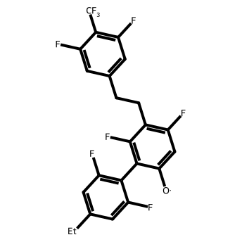 CCc1cc(F)c(-c2c([O])cc(F)c(CCc3cc(F)c(C(F)(F)F)c(F)c3)c2F)c(F)c1